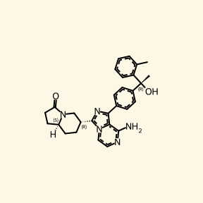 Cc1ccccc1[C@](C)(O)c1ccc(-c2nc([C@@H]3CC[C@H]4CCC(=O)N4C3)n3ccnc(N)c23)cc1